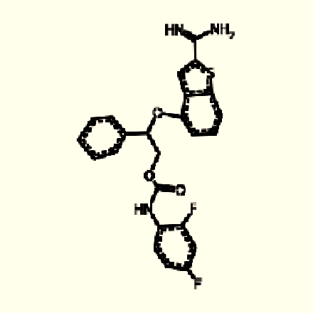 N=C(N)c1cc2c(OC(COC(=O)Nc3ccc(F)cc3F)c3ccccc3)cccc2s1